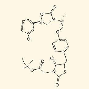 C[C@H](COc1ccc(CC2SC(=O)N(CC(=O)OC(C)(C)C)C2=O)cc1)N1C[C@@H](c2cccc(Cl)c2)OC1=S